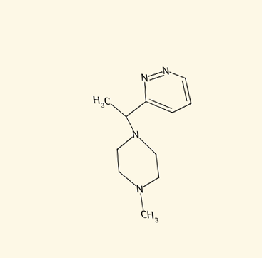 CC(c1cccnn1)N1CCN(C)CC1